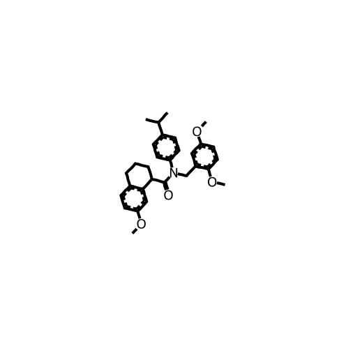 COc1ccc(OC)c(CN(C(=O)C2CCCc3ccc(OC)cc32)c2ccc(C(C)C)cc2)c1